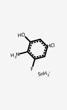 Cl.Nc1c(O)cccc1F.[SnH2]